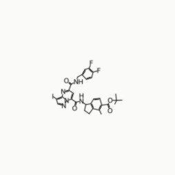 Cc1c(C(=O)OC(C)(C)C)ccc2c1CCC2NC(=O)c1cc(C(=O)NCc2ccc(F)c(F)c2)nc2c(I)cnn12